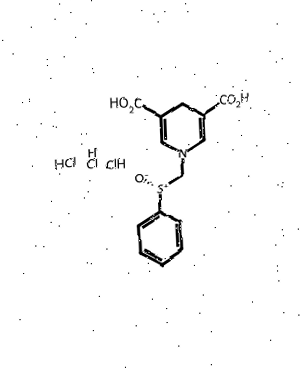 Cl.Cl.Cl.O=C(O)C1=CN(C[S@@+]([O-])c2ccccc2)C=C(C(=O)O)C1